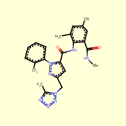 Cc1cc(C#N)cc(C(=O)NC(C)(C)C)c1NC(=O)c1cc(Cn2nnnc2C(F)(F)F)nn1-c1ccccc1C(F)(F)F